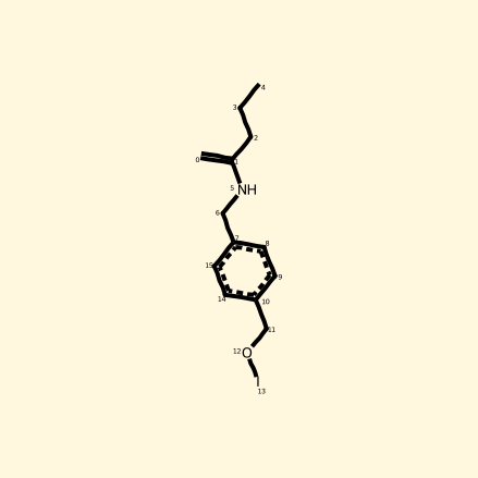 C=C(CCC)NCc1ccc(COI)cc1